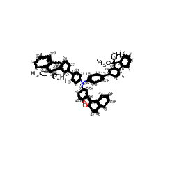 CC1(C)c2ccccc2-c2ccc(-c3ccc(N(c4ccc(-c5ccc6c(c5)C(C)(C)c5ccccc5-6)cc4)c4ccc5oc6ccc7ccccc7c6c5c4)cc3)cc21